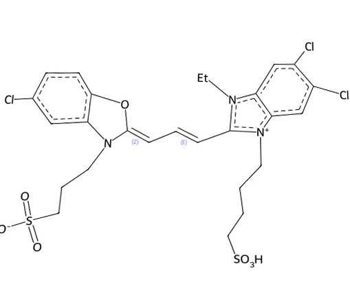 CCn1c(/C=C/C=C2\Oc3ccc(Cl)cc3N2CCCS(=O)(=O)[O-])[n+](CCCCS(=O)(=O)O)c2cc(Cl)c(Cl)cc21